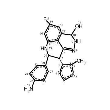 Cn1ncnc1[C@H]1C2=NNC(O)c3cc(F)cc(c32)NC1c1ccc(N)cc1